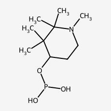 CN1CCC(OP(O)O)C(C)(C)C1(C)C